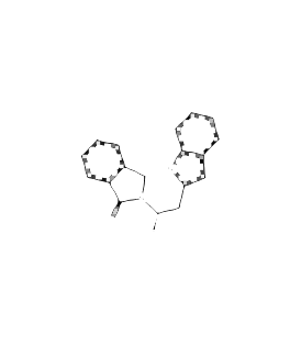 O=C(O)[C@H](Cc1cc2ccccc2[nH]1)N1Cc2ccccc2C1=O